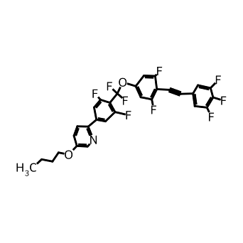 CCCCOc1ccc(-c2cc(F)c(C(F)(F)Oc3cc(F)c(C#Cc4cc(F)c(F)c(F)c4)c(F)c3)c(F)c2)nc1